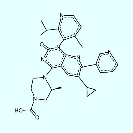 Cc1ccnc(C(C)C)c1-n1c(=O)nc(N2CCN(C(=O)O)C[C@@H]2C)c2cc(C3CC3)c(-c3cccnc3)nc21